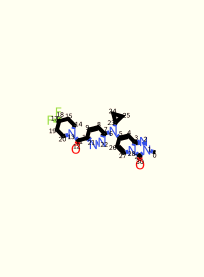 Cn1nc2cc(N(c3ccc(C(=O)N4CCC(F)(F)CC4)nn3)C3CC3)ccn2c1=O